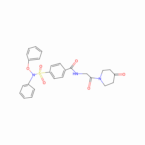 O=C1CCN(C(=O)CNC(=O)c2ccc(S(=O)(=O)N(Oc3ccccc3)c3ccccc3)cc2)CC1